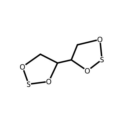 C1OSOC1C1COSO1